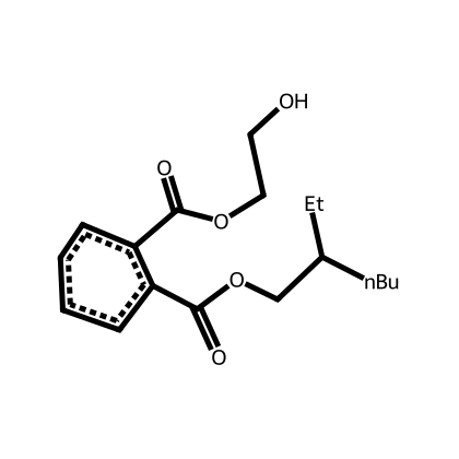 CCCCC(CC)COC(=O)c1ccccc1C(=O)OCCO